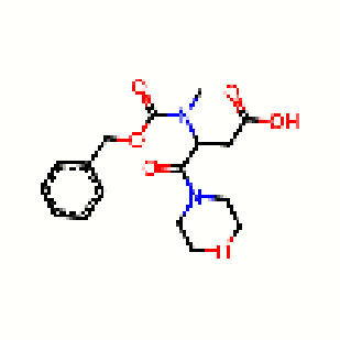 CN(C(=O)OCc1ccccc1)C(CC(=O)O)C(=O)N1CCOCC1